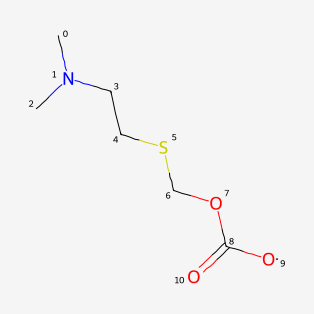 CN(C)CCSCOC([O])=O